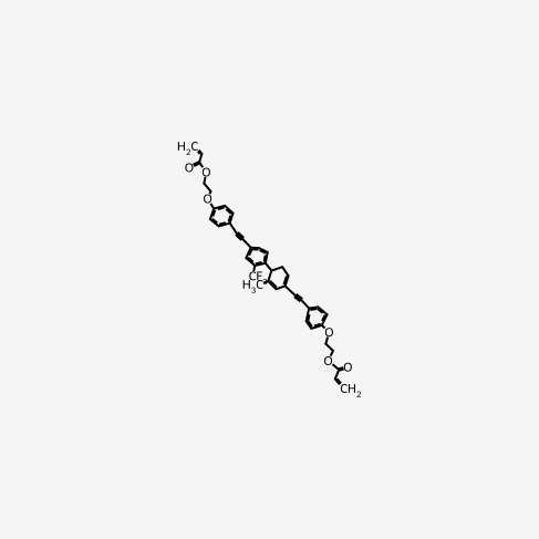 C=CC(=O)OCCOc1ccc(C#CC2=CCC(c3ccc(C#Cc4ccc(OCCOC(=O)C=C)cc4)cc3C(F)(F)F)C(C)=C2)cc1